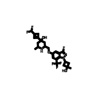 CC1CC(O)(C23CC(C(F)F)(C2)C3)CC(COc2cc(C(F)(F)F)c3c(c2)c(F)nn3C2CC(C)(O)C2)N1